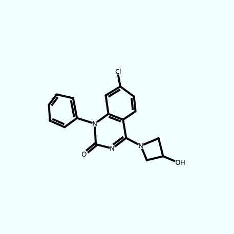 O=c1nc(N2CC(O)C2)c2ccc(Cl)cc2n1-c1ccccc1